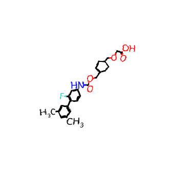 Cc1cc(C)cc(-c2ccc(NC(=O)OCC3CCC(COCC(=O)O)CC3)cc2F)c1